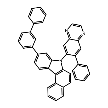 c1ccc(-c2cccc(-c3ccc4c5c6ccccc6ccc5n(-c5cc6nccnc6cc5-c5ccccc5)c4c3)c2)cc1